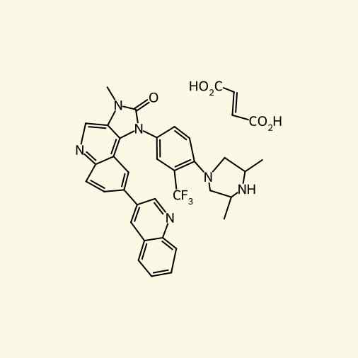 CC1CN(c2ccc(-n3c(=O)n(C)c4cnc5ccc(-c6cnc7ccccc7c6)cc5c43)cc2C(F)(F)F)CC(C)N1.O=C(O)C=CC(=O)O